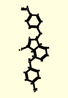 COc1ccc(Cn2nc(I)c3c(Oc4ccc(C(C)=O)cc4)ccnc32)cc1